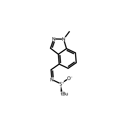 Cn1ncc2c(/C=N\[S@@+]([O-])C(C)(C)C)cccc21